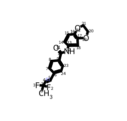 CC(F)(F)/C=C/c1ccc(C(=O)Nc2ccc3c(c2)OCCO3)cc1